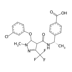 C[C@H](NC(=O)C1C(C(F)(F)F)=NN(C)C1Oc1cccc(Cl)c1)c1ccc(C(=O)O)cc1